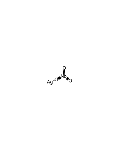 [Ag+].[O]=[Nb](=[O])[O-]